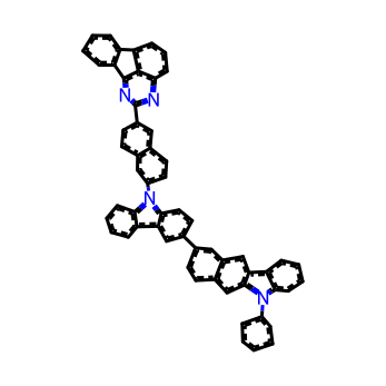 c1ccc(-n2c3ccccc3c3cc4cc(-c5ccc6c(c5)c5ccccc5n6-c5ccc6cc(-c7nc8c9c(cccc9n7)-c7ccccc7-8)ccc6c5)ccc4cc32)cc1